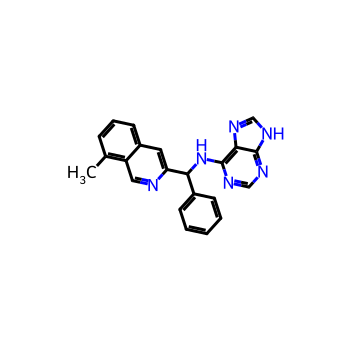 Cc1cccc2cc(C(Nc3ncnc4[nH]cnc34)c3ccccc3)ncc12